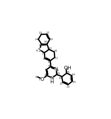 COC1=CC(C2=CC3SC4=C(C=CCC4)C3CC2)=NC(C2C=CC=CC2O)N1